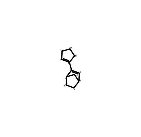 C1=C(C2=CC3CCC2C3)CCC1